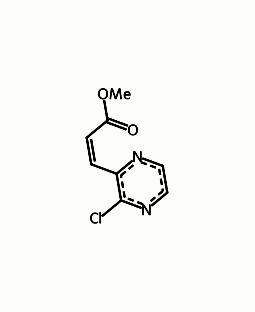 COC(=O)/C=C\c1nccnc1Cl